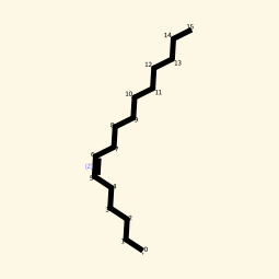 [CH2]CCCC/C=C\CCCCCCCCC